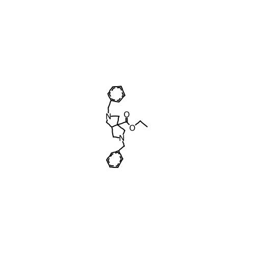 CCOC(=O)C12CN(Cc3ccccc3)CC1CN(Cc1ccccc1)C2